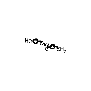 C=Cc1ccc(C(=O)OCCOCc2ccc(O)cc2)cc1